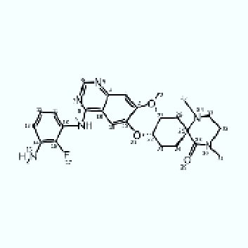 COc1cc2ncnc(Nc3cccc(N)c3F)c2cc1O[C@H]1CC[C@]2(CC1)C(=O)N(C)CCN2C